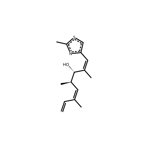 C=CC(C)=C[C@@H](C)[C@H](O)C(C)=Cc1csc(C)n1